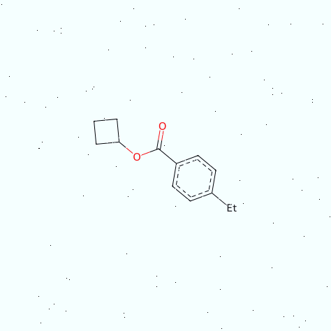 CCc1ccc(C(=O)OC2CCC2)cc1